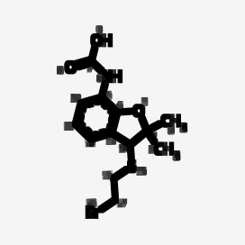 CC1(C)Oc2c(NC(=O)O)cccc2C1SCCBr